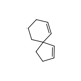 [CH]1CC=CC2(C=CCC2)C1